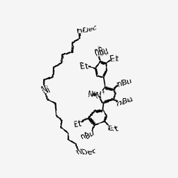 CCCCC1=C(c2cc(CC)c(CCCC)c(CC)c2)[N+](=[N-])C(c2cc(CC)c(CCCC)c(CC)c2)=C1CCCC.CCCCCCCCCCCCCCCCC[CH2][Ni][CH2]CCCCCCCCCCCCCCCCC